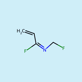 C=C/C(F)=N\CF